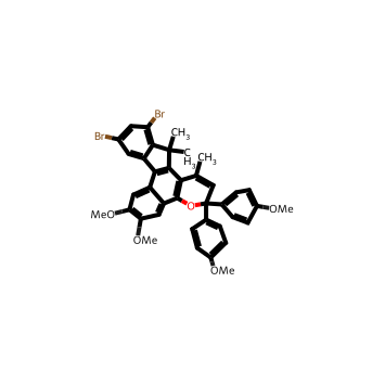 COc1ccc(C2(c3ccc(OC)cc3)C=C(C)c3c4c(c5cc(OC)c(OC)cc5c3O2)-c2cc(Br)cc(Br)c2C4(C)C)cc1